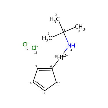 CC(C)(C)[NH][Hf+2][C]1=CC=CC1.[Cl-].[Cl-]